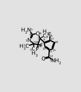 CC1(C)N=C(N)O[C@](C)(c2cc(C(N)=O)ccc2F)C1(F)F